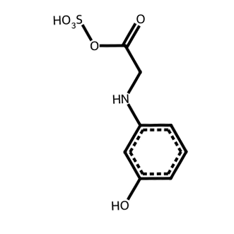 O=C(CNc1cccc(O)c1)OS(=O)(=O)O